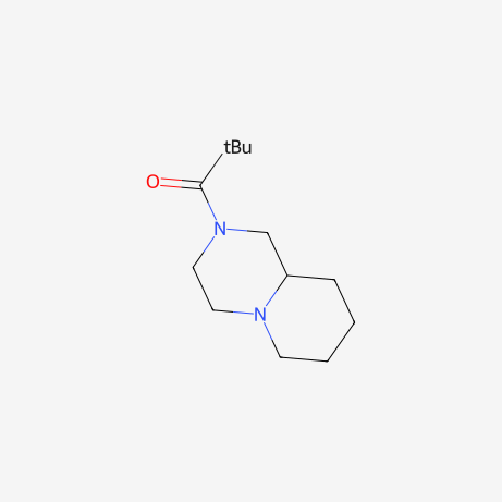 CC(C)(C)C(=O)N1CCN2CCCCC2C1